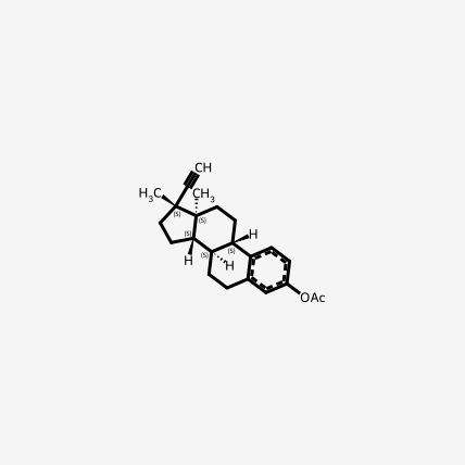 C#C[C@@]1(C)CC[C@H]2[C@@H]3CCc4cc(OC(C)=O)ccc4[C@H]3CC[C@@]21C